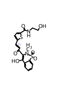 CN1C(C(=O)/C=C/c2ccc(C(=O)NCCO)s2)=C(O)c2ccccc2S1(=O)=O